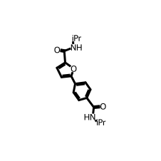 CC(C)NC(=O)c1ccc(-c2ccc(C(=O)NC(C)C)o2)cc1